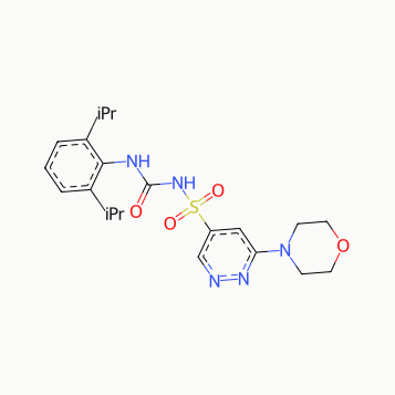 CC(C)c1cccc(C(C)C)c1NC(=O)NS(=O)(=O)c1cnnc(N2CCOCC2)c1